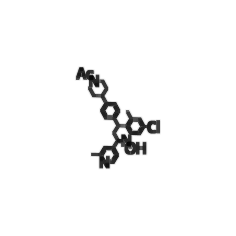 CC(=O)N1CCC(c2ccc(C(C/C(=N/O)c3ccnc(C)c3)c3ccc(Cl)cc3C)cc2)CC1